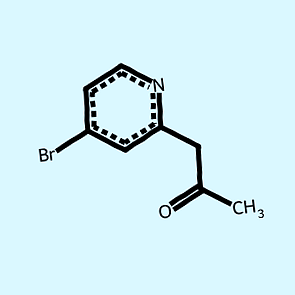 CC(=O)Cc1cc(Br)ccn1